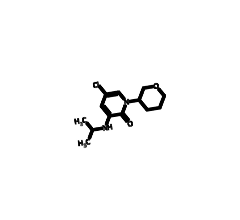 CC(C)Nc1cc(Cl)cn(C2CCCOC2)c1=O